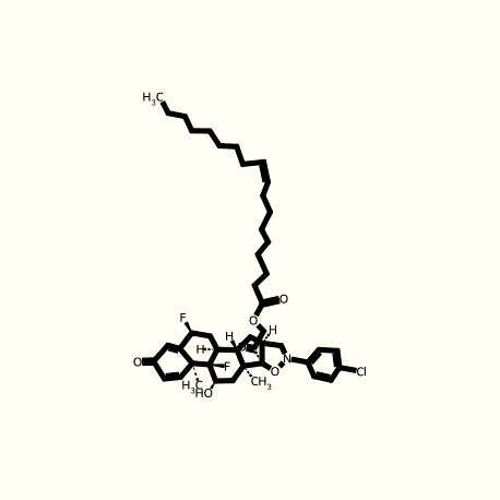 CCCCCCCC/C=C\CCCCCCCC(=O)OCC(=O)[C@@]12ON(c3ccc(Cl)cc3)C[C@@H]1C[C@H]1[C@@H]3C[C@H](F)C4=CC(=O)C=C[C@]4(C)[C@@]3(F)[C@@H](O)C[C@@]12C